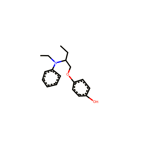 CCC(COc1ccc(O)cc1)N(CC)c1ccccc1